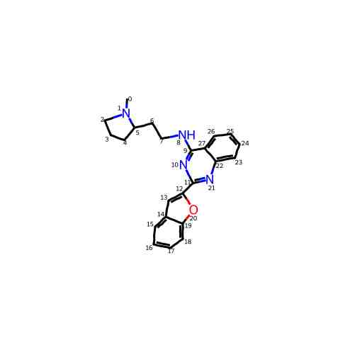 CN1CCCC1CCNc1nc(-c2cc3ccccc3o2)nc2ccccc12